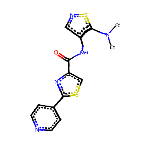 CCN(CC)c1sncc1NC(=O)c1csc(-c2ccncc2)n1